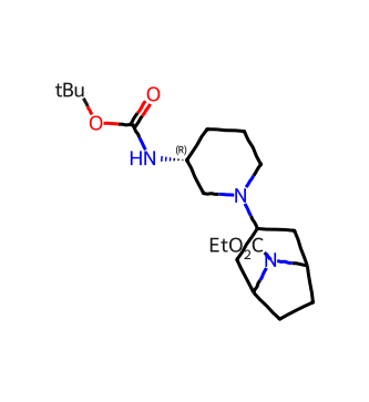 CCOC(=O)N1C2CCC1CC(N1CCC[C@@H](NC(=O)OC(C)(C)C)C1)C2